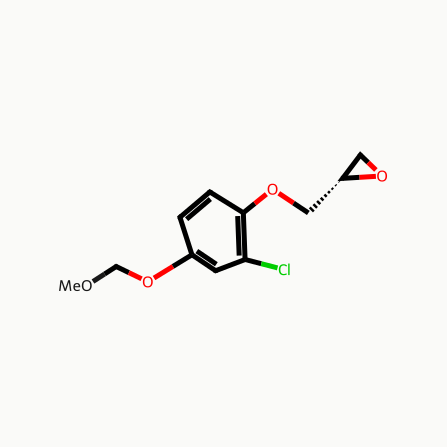 COCOc1ccc(OC[C@@H]2CO2)c(Cl)c1